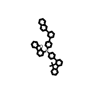 CC1(C)c2ccccc2-c2cccc(-c3ccc(N(c4ccc(-c5cccc(-c6ccc7ccccc7c6)c5)cc4)c4cccc5c4oc4ccccc45)cc3)c21